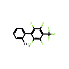 Cc1ccccc1-c1c(F)c(F)c(C(F)(F)F)c(F)c1F